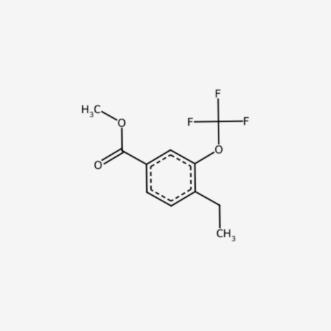 CCc1ccc(C(=O)OC)cc1OC(F)(F)F